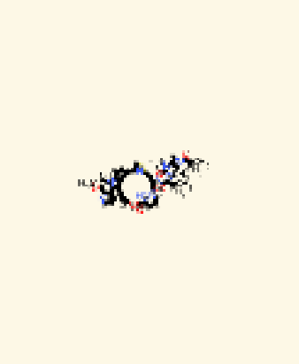 C=C(C)C(=O)N1CC(N(C)C(=O)N(C)C(C(=O)N[C@H]2Cc3nc(cs3)-c3ccc4c(c3)c(c(-c3cccnc3[C@H](C)OC)n4CC)CC(C)(C)COC(=O)[C@@H]3CCCN(N3)C2=O)C(C)C)C1